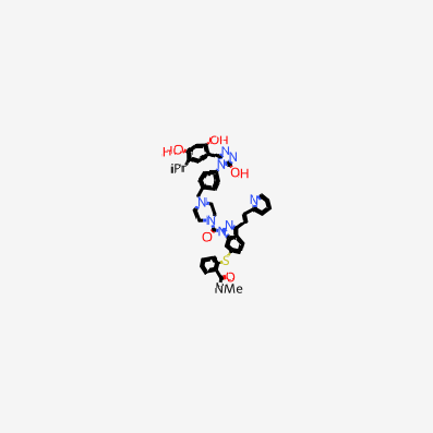 CNC(=O)c1ccccc1Sc1ccc2c(/C=C/c3ccccn3)nn(C(=O)N3CCN(Cc4ccc(-n5c(O)nnc5-c5cc(C(C)C)c(O)cc5O)cc4)CC3)c2c1